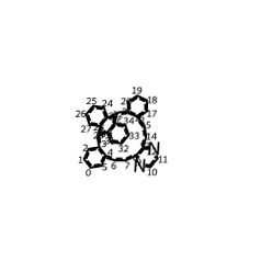 c1ccc2c(c1)ccc1nccnc1ccc1ccccc1c1c3ccccc3c2c2ccccc21